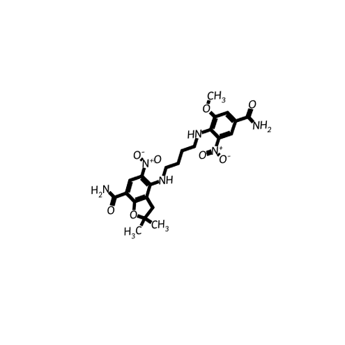 COc1cc(C(N)=O)cc([N+](=O)[O-])c1NCCCCNc1c([N+](=O)[O-])cc(C(N)=O)c2c1CC(C)(C)O2